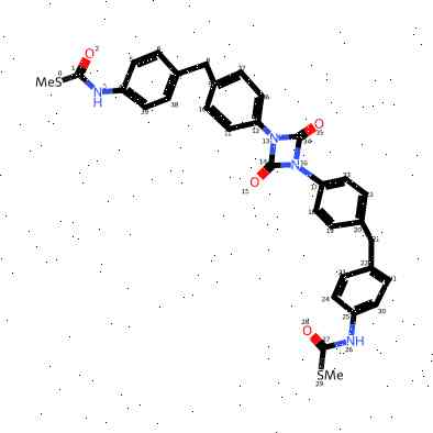 CSC(=O)Nc1ccc(Cc2ccc(N3C(=O)N(c4ccc(Cc5ccc(NC(=O)SC)cc5)cc4)C3=O)cc2)cc1